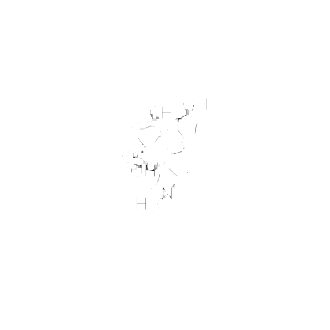 C[n+]1ccc(C=Cc2ccc(O)cc2)cc1.Cc1ccc(S(=O)(=O)O)cc1